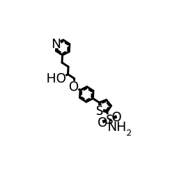 NS(=O)(=O)c1ccc(-c2ccc(OCC(O)CCc3cccnc3)cc2)s1